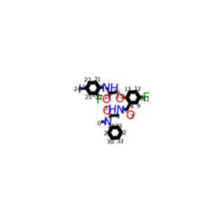 CN(C(=O)CNC(=O)c1cc(F)ccc1OCC(=O)Nc1ccc(I)cc1F)c1ccccc1